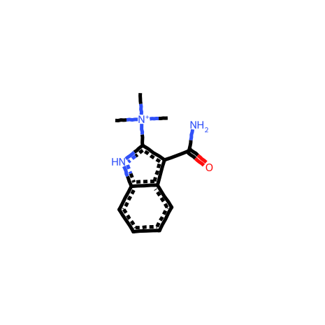 C[N+](C)(C)c1[nH]c2ccccc2c1C(N)=O